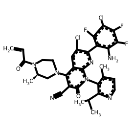 C=CC(=O)N1CCN(c2c(C#N)c(=O)n(-c3c(C)ccnc3C(C)C)c3nc(-c4c(N)c(F)c(F)c(Cl)c4F)c(Cl)cc23)C[C@H]1C